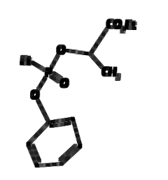 CCOC(=O)C(C)OP(=O)(CC)Oc1ccccc1